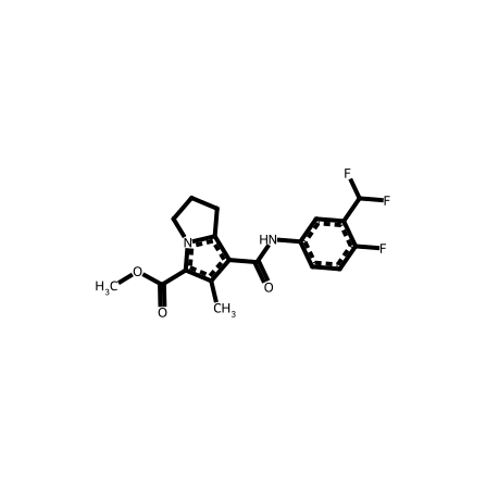 COC(=O)c1c(C)c(C(=O)Nc2ccc(F)c(C(F)F)c2)c2n1CCC2